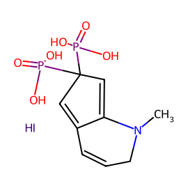 CN1CC=CC2=CC(P(=O)(O)O)(P(=O)(O)O)C=C21.I